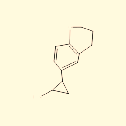 NC1CC1c1ccc2c(c1)CCCO2